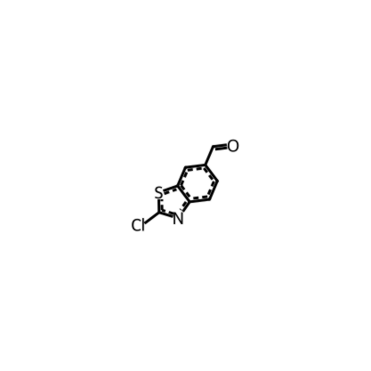 O=Cc1ccc2nc(Cl)sc2c1